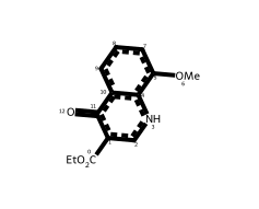 CCOC(=O)c1c[nH]c2c(OC)cccc2c1=O